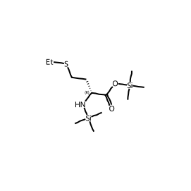 CCSCC[C@@H](N[Si](C)(C)C)C(=O)O[Si](C)(C)C